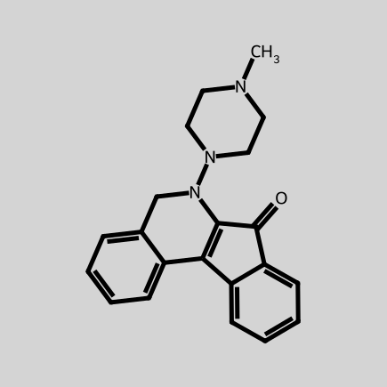 CN1CCN(N2Cc3ccccc3C3=C2C(=O)c2ccccc23)CC1